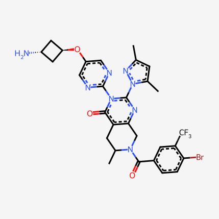 Cc1cc(C)n(-c2nc3c(c(=O)n2-c2ncc(O[C@H]4C[C@H](N)C4)cn2)CC(C)N(C(=O)c2ccc(Br)c(C(F)(F)F)c2)C3)n1